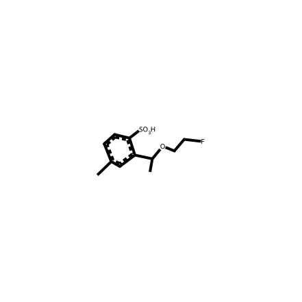 Cc1ccc(S(=O)(=O)O)c(C(C)OCCF)c1